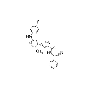 Cc1cnc(Nc2ccc(F)cc2)cc1-n1cnc(C(=O)NC(C#N)c2ccccc2)c1